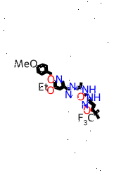 C=N/C(=N\C=C(/C)NC(=O)Nc1cc(C(C)(C)C(F)(F)F)on1)c1cnc(OCc2ccc(OC)cc2)c(OCC)c1